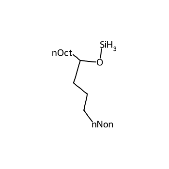 CCCCCCCCCCCCC(CCCCCCCC)O[SiH3]